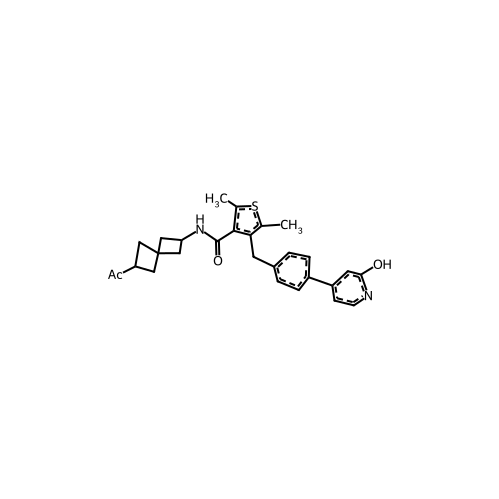 CC(=O)C1CC2(CC(NC(=O)c3c(C)sc(C)c3Cc3ccc(-c4ccnc(O)c4)cc3)C2)C1